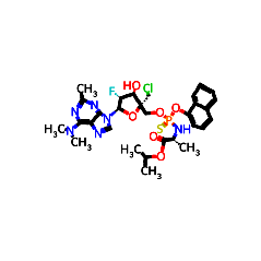 Cc1nc(N(C)C)c2ncn([C@@H]3O[C@](CCl)(COP(=S)(N[C@H](C)C(=O)OC(C)C)Oc4cccc5ccccc45)[C@@H](O)[C@H]3F)c2n1